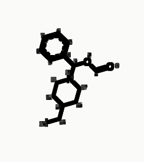 O=COC(c1ccccc1)N1CCC(CI)CC1